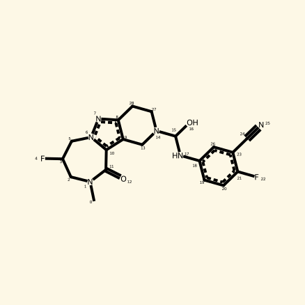 CN1CC(F)Cn2nc3c(c2C1=O)CN(C(O)Nc1ccc(F)c(C#N)c1)CC3